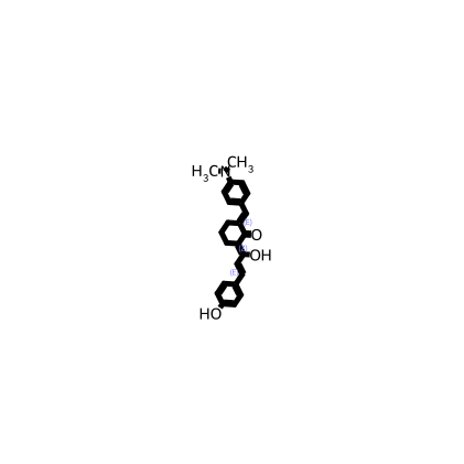 CN(C)c1ccc(/C=C2\CCC/C(=C(O)\C=C\c3ccc(O)cc3)C2=O)cc1